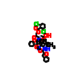 CC(C)[C@H](NC(=O)c1cc2ccccc2o1)C1=NOC(C(=O)N(C)[C@@H](CC(=O)O)C(=O)COC(=O)c2c(Cl)cccc2Cl)(c2ccccc2)C1